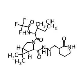 CC[C@H](C)[C@H](NC(=O)C(F)(F)F)C(=O)N1C[C@H]2[C@@H]([C@H]1C(=O)NNC[C@@H]1CCCNC1=O)C2(C)C.Cl